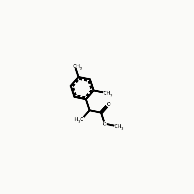 COC(=O)C(C)c1ccc(C)cc1C